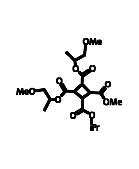 COCC(C)OC(=O)C1C(C(=O)OC)C(C(=O)OC(C)C)C1C(=O)OC(C)COC